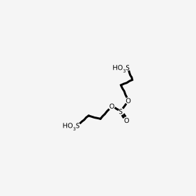 O=S(OCCS(=O)(=O)O)OCCS(=O)(=O)O